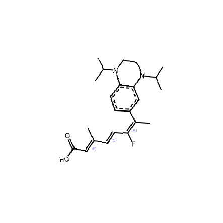 CC(/C=C/C(F)=C(/C)c1ccc2c(c1)N(C(C)C)CCN2C(C)C)=C\C(=O)O